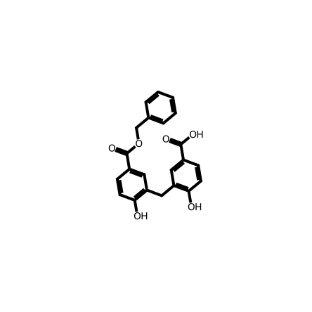 O=C(O)c1ccc(O)c(Cc2cc(C(=O)OCc3ccccc3)ccc2O)c1